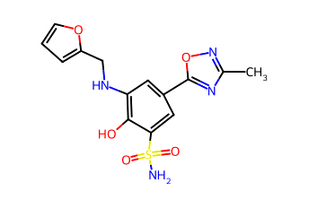 Cc1noc(-c2cc(NCc3ccco3)c(O)c(S(N)(=O)=O)c2)n1